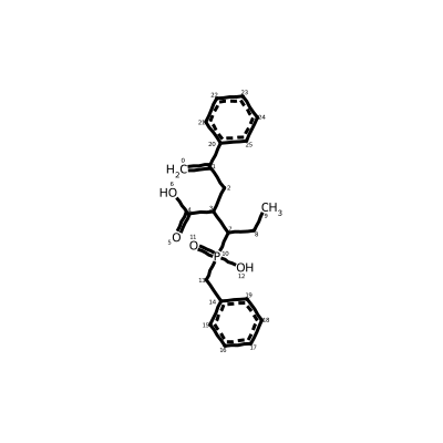 C=C(CC(C(=O)O)C(CC)P(=O)(O)Cc1ccccc1)c1ccccc1